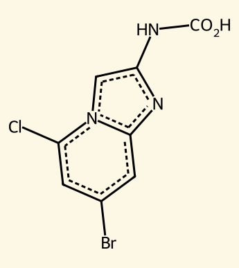 O=C(O)Nc1cn2c(Cl)cc(Br)cc2n1